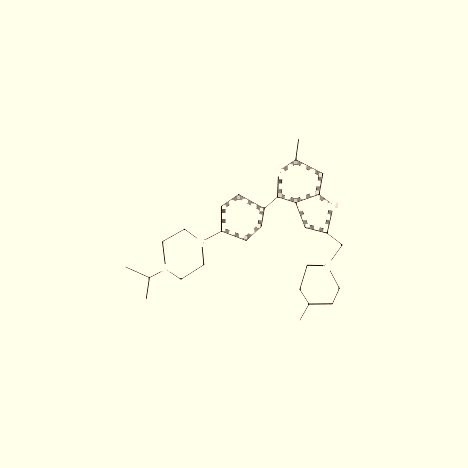 Cc1cc2[nH]c(CN3CCC(F)CC3)cc2c(-c2ccc(N3CCN(C(C)C)CC3)cc2)n1